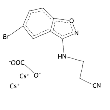 N#CCCNc1noc2ccc(Br)cc12.O=C([O-])[O-].[Cs+].[Cs+]